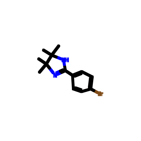 CC1(C)N=C(c2ccc(Br)cc2)NC1(C)C